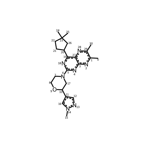 Cc1nc2nc(N3CCOC(c4cnn(C)c4)C3)nc(C3CCC(C)(C)C3)c2nc1C